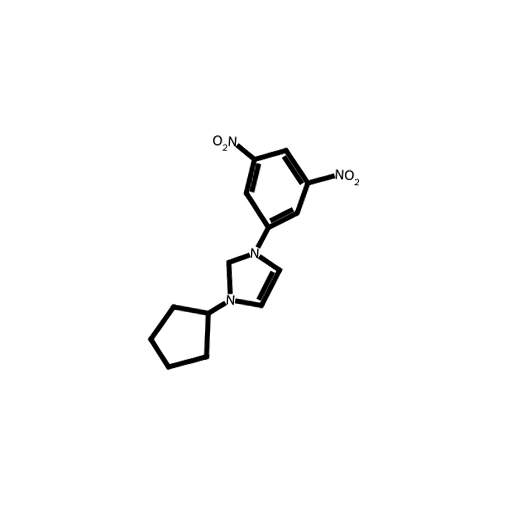 O=[N+]([O-])c1cc(N2C=CN(C3CCCC3)C2)cc([N+](=O)[O-])c1